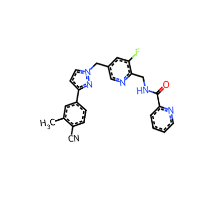 Cc1cc(-c2ccn(Cc3cnc(CNC(=O)c4ccccn4)c(F)c3)n2)ccc1C#N